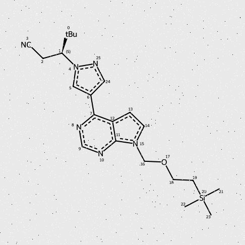 CC(C)(C)[C@H](CC#N)n1cc(-c2ncnc3c2ccn3COCC[Si](C)(C)C)cn1